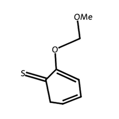 COCOC1=CC=CCC1=S